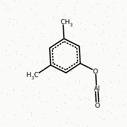 Cc1cc(C)cc([O][Al]=[O])c1